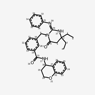 CCC1(CC)CC(=O)N(Cc2cccc(C(=O)NC3CCOc4ccccc43)c2)/C(=N\c2ccccc2)N1